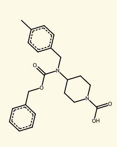 Cc1ccc(CN(C(=O)OCc2ccccc2)C2CCN(C(=O)O)CC2)cc1